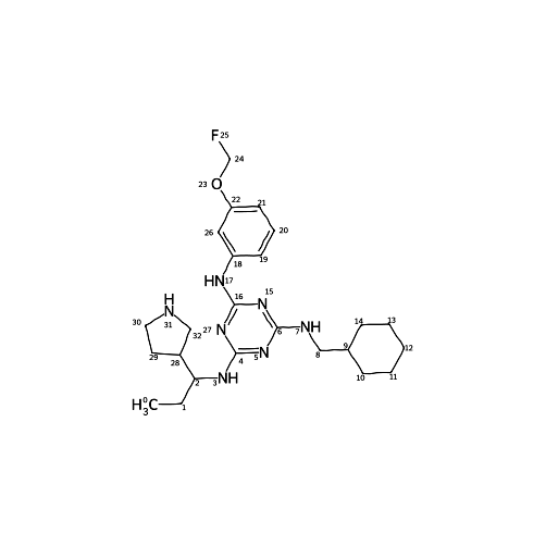 CCC(Nc1nc(NCC2CCCCC2)nc(Nc2cccc(OCF)c2)n1)C1CCNC1